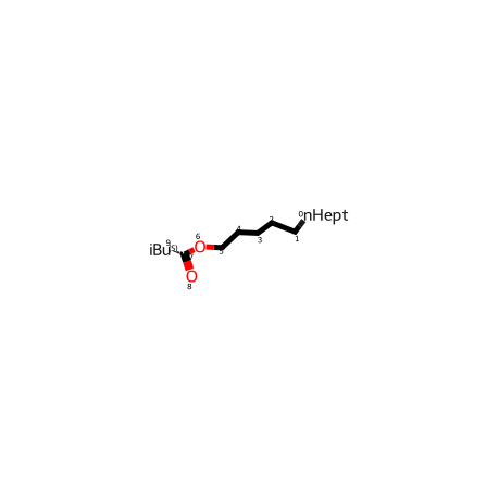 CCCCCCCCCCCCOC(=O)[C@@H](C)CC